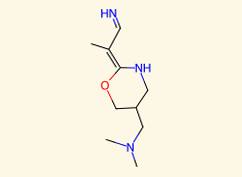 C/C(C=N)=C1/NCC(CN(C)C)CO1